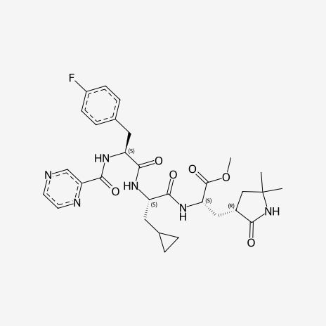 COC(=O)[C@H](C[C@@H]1CC(C)(C)NC1=O)NC(=O)[C@H](CC1CC1)NC(=O)[C@H](Cc1ccc(F)cc1)NC(=O)c1cnccn1